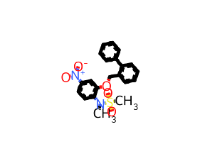 CN(c1ccc([N+](=O)[O-])cc1OCc1ccccc1-c1ccccc1)S(C)(=O)=O